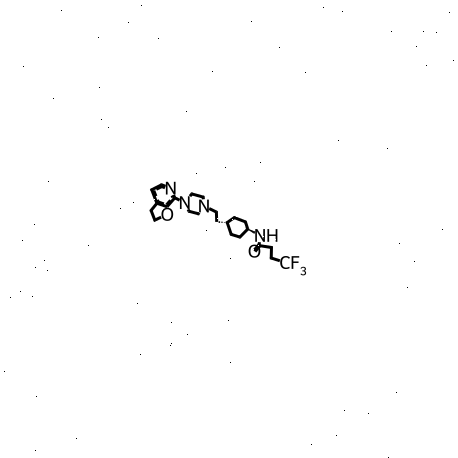 O=C(CCC(F)(F)F)N[C@H]1CC[C@H](CCN2CCN(c3nccc4c3OCC4)CC2)CC1